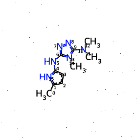 Cc1ccc(Nc2nnc(N(C)C)n2C)[nH]1